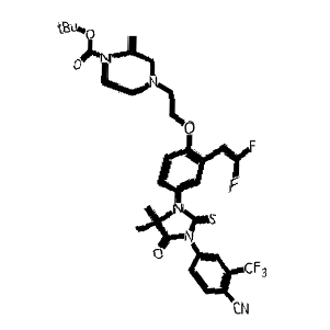 CC1CN(CCOc2ccc(N3C(=S)N(c4ccc(C#N)c(C(F)(F)F)c4)C(=O)C3(C)C)cc2CC(F)F)CCN1C(=O)OC(C)(C)C